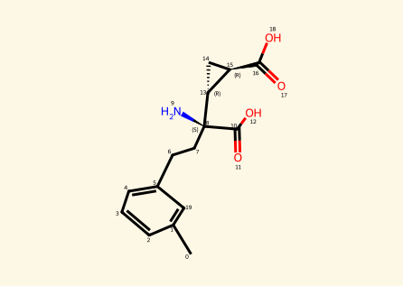 Cc1cccc(CC[C@@](N)(C(=O)O)[C@@H]2C[C@H]2C(=O)O)c1